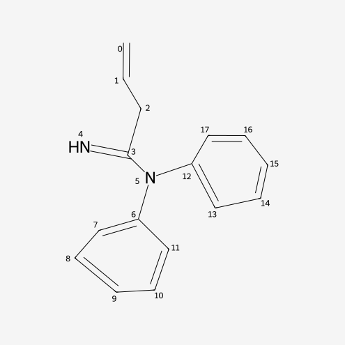 C=CCC(=N)N(c1ccccc1)c1ccccc1